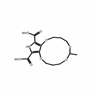 COC(=O)c1[nH]c(C(=O)OC)c2c1OCCCOC(C)OCCCO2